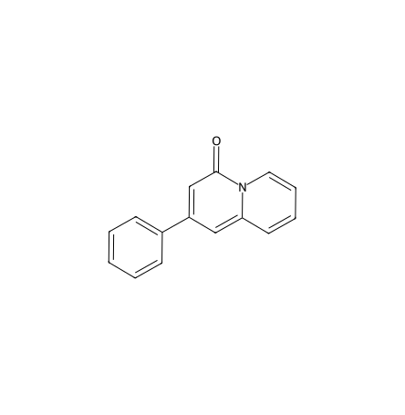 O=c1cc(-c2ccccc2)cc2ccccn12